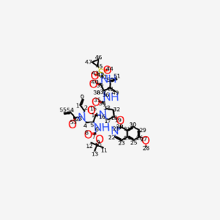 C=CCN(C[C@H](NC(=O)OC(C)(C)C)C(=O)N1C[C@H](Oc2nccc3cc(OC)ccc23)C[C@H]1C(=O)N[C@@](C)(C(=O)NS(=O)(=O)C1CC1)C(C)C=C)C(=O)C=C